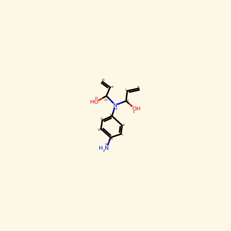 C=CC(O)N(c1ccc(N)cc1)C(O)C=C